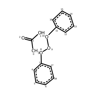 CC(=O)O.c1ccc(OOOc2ccccc2)cc1